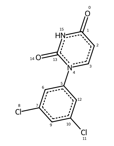 O=c1ccn(-c2cc(Cl)cc(Cl)c2)c(=O)[nH]1